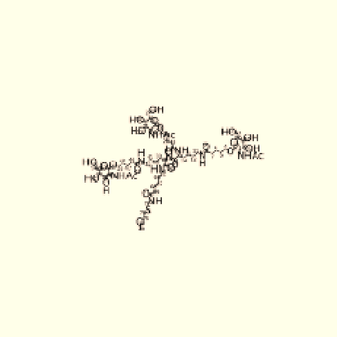 CC(=O)NC1C(OCCCCC(=O)NCCCCC(NC(=O)CCCCOC2OC(CO)C(O)C(O)C2NC(C)=O)C(=O)NC(CCCCNC(=O)CCCCOC2OC(CO)C(O)C(O)[C@@H]2NC(C)=O)C(=O)NCCCCCC(=O)NCSCCOI)OC(CO)C(O)C1O